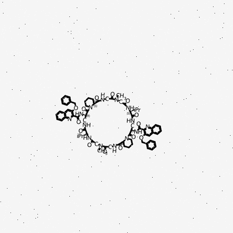 CC(C)[C@@H]1NC(=O)CN(C)C(=O)CNC(=O)[C@@H]2CCCCN2C(=O)[C@H](NC(=O)c2nc3ccccc3cc2OCc2ccccc2)CNC(=O)[C@H](C(C)C)NC(=O)CN(C)C(=O)CNC(=O)[C@@H]2CCCCN2C(=O)[C@H](NC(=O)c2nc3ccccc3cc2OCc2ccccc2)CNC1=O